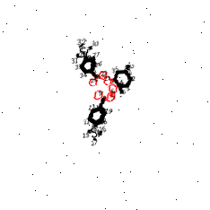 [CH2]C1CCC([CH2])(OOC(=O)c2ccc([Si](C)(C)C)cc2)C(OOC(=O)c2ccc([Si](C)(C)C)cc2)C1